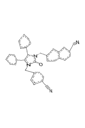 N#Cc1ccc(Cn2c(-c3ccccc3)c(-c3ccccc3)n(Cc3ccc4ccc(C#N)cc4c3)c2=O)cc1